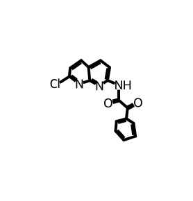 O=C(Nc1ccc2ccc(Cl)nc2n1)C(=O)c1ccccc1